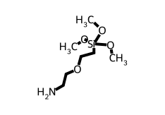 CO[Si](CCOCCN)(OC)OC